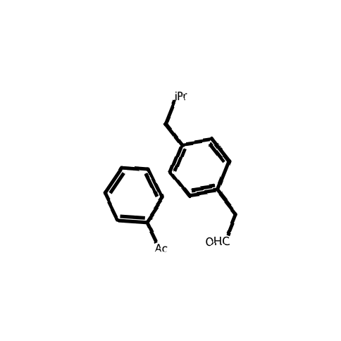 CC(=O)c1ccccc1.CC(C)Cc1ccc(CC=O)cc1